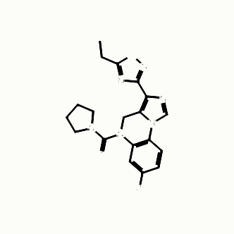 CCc1nc(-c2ncn3c2CN(C(=O)N2CCCC2)c2cc(Cl)ccc2-3)no1